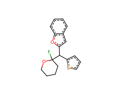 FC1(C(c2cc3ccccc3o2)c2cccs2)CCCCO1